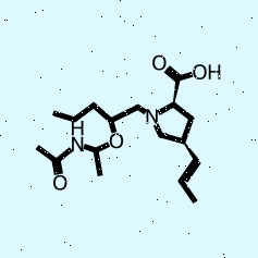 CC=C[C@@H]1C[C@H](C(=O)O)N(CC(CCC)OC(C)NC(C)=O)C1